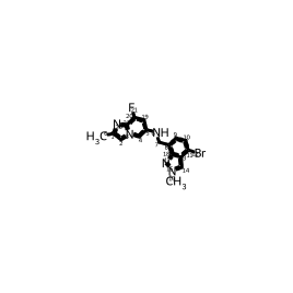 Cc1cn2cc(NCc3ccc(Br)c4cn(C)nc34)cc(F)c2n1